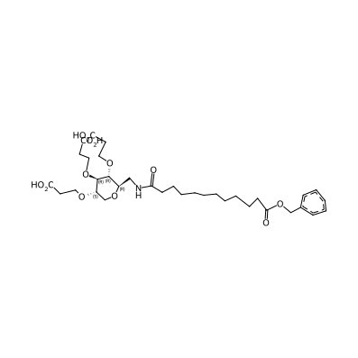 O=C(O)CCO[C@H]1[C@H](OCCC(=O)O)[C@@H](CNC(=O)CCCCCCCCCCC(=O)OCc2ccccc2)OC[C@@H]1OCCC(=O)O